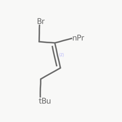 CCC/C(=C/CC(C)(C)C)CBr